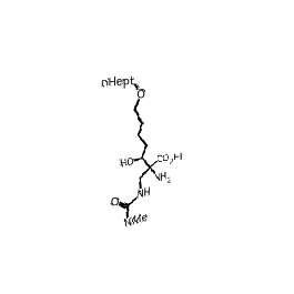 CCCCCCCOCCCCC(O)C(N)(CNC(=O)NC)C(=O)O